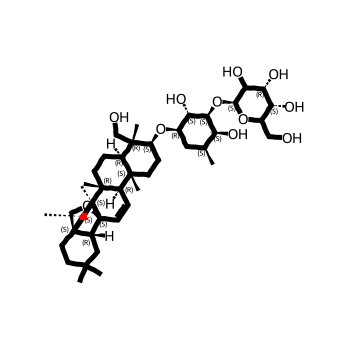 C[C@H]1C[C@@H](O[C@H]2CC[C@@]3(C)[C@@H](CC[C@]4(C)[C@@H]3C=C[C@]35OC[C@@]6(CCC(C)(C)C[C@H]63)[C@@H](C)C[C@]54C)[C@]2(C)CO)[C@H](O)[C@@H](O[C@@H]2OC(CO)[C@@H](O)[C@@H](O)C2O)[C@H]1O